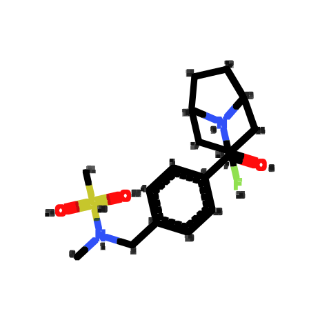 CN(Cc1ccc(C(=O)N2C3CCC2CC(F)C3)cc1)S(C)(=O)=O